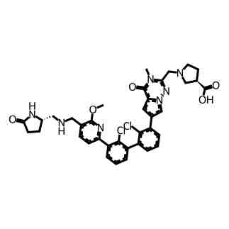 COc1nc(-c2cccc(-c3cccc(-c4cc5c(=O)n(C)c(CN6CC[C@@H](C(=O)O)C6)nn5c4)c3Cl)c2Cl)ccc1CNC[C@@H]1CCC(=O)N1